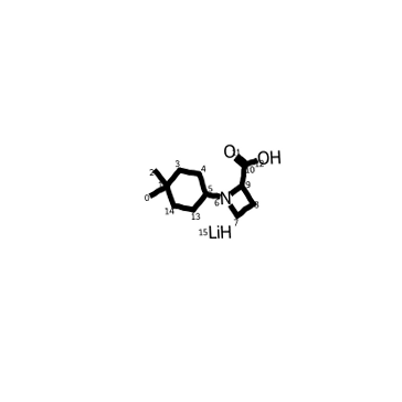 CC1(C)CCC(N2CCC2C(=O)O)CC1.[LiH]